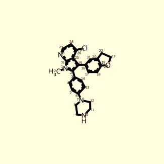 Cn1c(-c2ccc(N3CCNCC3)cc2)c(-c2ccc3c(c2)CCO3)c2c(Cl)ccnc21